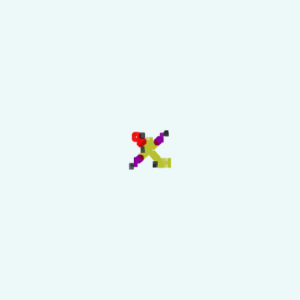 O=[SH](S)(I)I